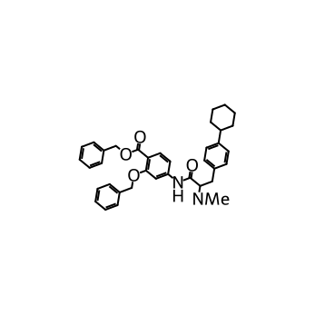 CNC(Cc1ccc(C2CCCCC2)cc1)C(=O)Nc1ccc(C(=O)OCc2ccccc2)c(OCc2ccccc2)c1